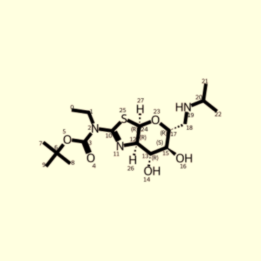 CCN(C(=O)OC(C)(C)C)C1=N[C@@H]2[C@@H](O)[C@H](O)[C@@H](CNC(C)C)O[C@@H]2S1